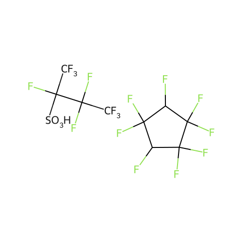 FC1C(F)(F)C(F)C(F)(F)C1(F)F.O=S(=O)(O)C(F)(C(F)(F)F)C(F)(F)C(F)(F)F